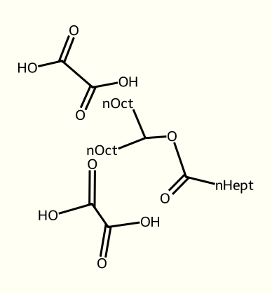 CCCCCCCCC(CCCCCCCC)OC(=O)CCCCCCC.O=C(O)C(=O)O.O=C(O)C(=O)O